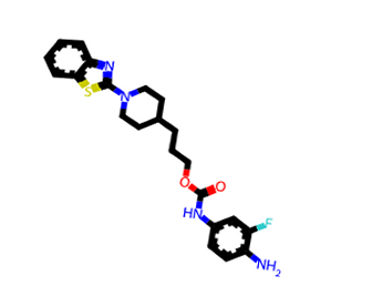 Nc1ccc(NC(=O)OCCCC2CCN(c3nc4ccccc4s3)CC2)cc1F